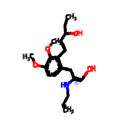 C=CCN/C(=C/O)Cc1ccc(OC)c(OC)c1CCC(O)CC